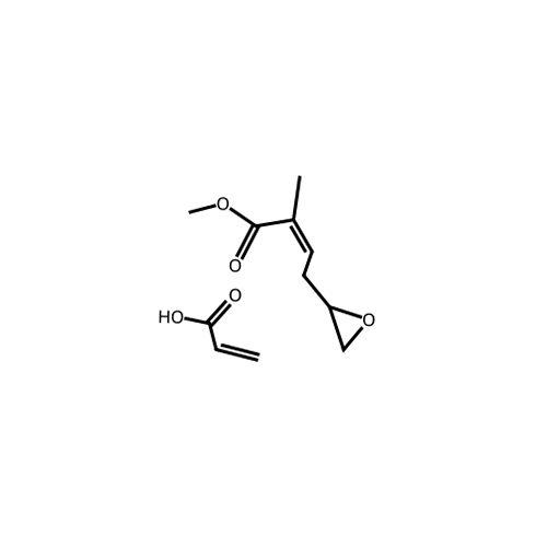 C=CC(=O)O.COC(=O)C(C)=CCC1CO1